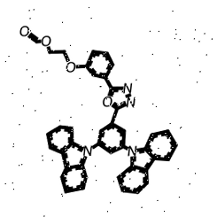 O=COCCOc1cccc(-c2nnc(-c3cc(-n4c5ccccc5c5ccccc54)cc(-n4c5ccccc5c5ccccc54)c3)o2)c1